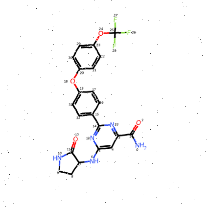 NC(=O)c1cc(NC2CCNC2=O)nc(-c2ccc(Oc3ccc(OC(F)(F)F)cc3)cc2)n1